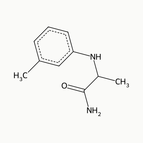 Cc1cccc(NC(C)C(N)=O)c1